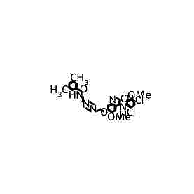 COc1cc(Nc2c(C#N)cnc3cc(OCCN4CCN(CCNC(=O)c5cc(C)cc(C)c5)CC4)c(OC)cc23)c(Cl)cc1Cl